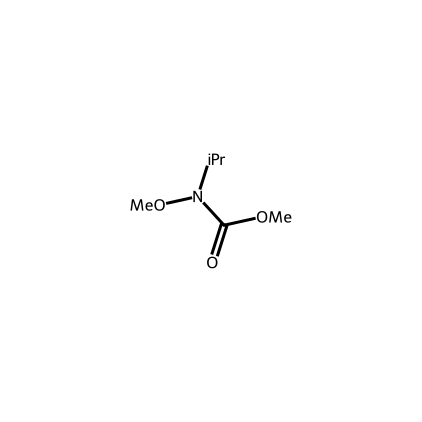 COC(=O)N(OC)C(C)C